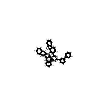 c1ccc(-c2cccc(-c3nc(-c4ccccc4)nc(-c4ccc5c(oc6ccccc65)c4-n4c5ccccc5c5cc6ccccc6cc54)n3)c2)cc1